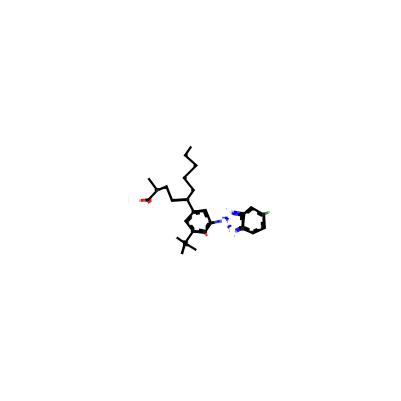 CCCCCC(CCC(C)C(=O)O)c1cc(-n2nc3ccc(Cl)cc3n2)c(O)c(C(C)(C)C)c1